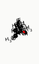 COc1ccc(C(CC(=O)N[C@H](C(=O)N[C@H](C(=O)C(F)(F)C(=O)NCC(F)(F)F)C(C)C)c2ccccc2)c2cc(F)cc(F)c2)cc1